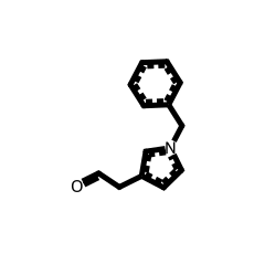 O=CCc1ccn(Cc2ccccc2)c1